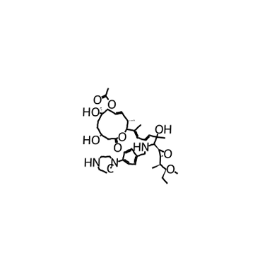 CC[C@H](OC)[C@@H](C)[C@H]1O[C@@H]1C(NCc1ccc(N2CCCNCC2)cc1)C(C)(O)/C=C/C=C(\C)C1OC(=O)C[C@H](O)CC[C@@](C)(O)[C@@H](OC(C)=O)/C=C/[C@@H]1C